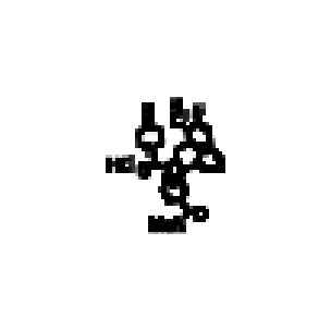 CNC(=O)c1ccn2c(C(=O)N3CCNCC3)c(Cc3cccc(F)c3C)c(-c3ccccc3)c2c1.Cl